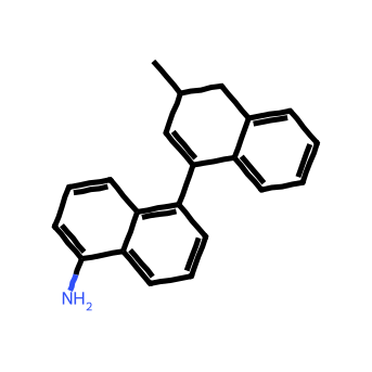 CC1C=C(c2cccc3c(N)cccc23)c2ccccc2C1